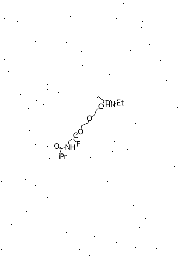 CCNCC(C)OCCOCCOCC(F)CNC(=O)C(C)C